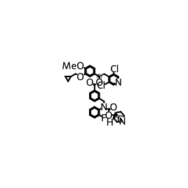 COc1ccc([C@@H](Cc2c(Cl)cncc2Cl)OC(=O)c2cccc(CN(C(=O)O[C@H]3CN4CCC3CC4)c3ccccc3F)c2)cc1OCC1CC1